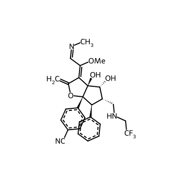 C=C1O[C@@]2(c3ccc(C#N)cc3)[C@H](c3ccccc3)[C@@H](CNCC(F)(F)F)[C@@H](O)[C@@]2(O)/C1=C(/C=N\C)OC